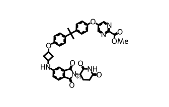 COC(=O)c1ncc(Oc2ccc(C(C)(C)c3ccc(OC4CC(Nc5ccc6c(c5)C(=O)N([C@@H]5CCC(=O)NC5=O)C6=O)C4)cc3)cc2)cn1